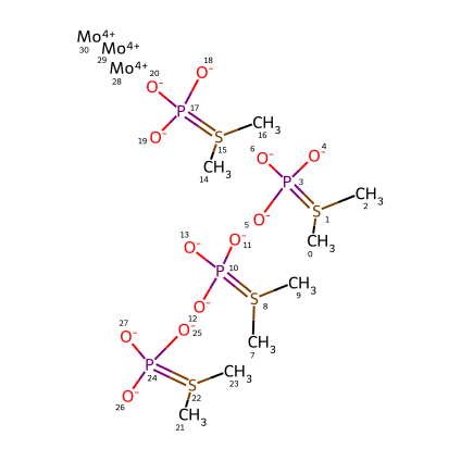 CS(C)=P([O-])([O-])[O-].CS(C)=P([O-])([O-])[O-].CS(C)=P([O-])([O-])[O-].CS(C)=P([O-])([O-])[O-].[Mo+4].[Mo+4].[Mo+4]